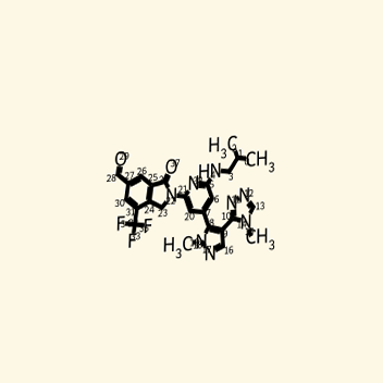 CC(C)CNc1cc(-c2c(-c3nncn3C)cnn2C)cc(N2Cc3c(cc(C=O)cc3C(F)(F)F)C2=O)n1